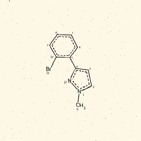 Cn1ccc(-c2ccccc2Br)n1